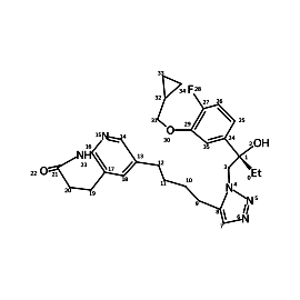 CC[C@@](O)(Cn1nncc1CCCCc1cnc2c(c1)CCC(=O)N2)c1ccc(F)c(OCC2CC2)c1